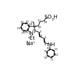 CC[N+]1=C(C=CC=CNc2ccccc2)C(C)(CCCS(=O)(=O)O)c2ccccc21.[Na+]